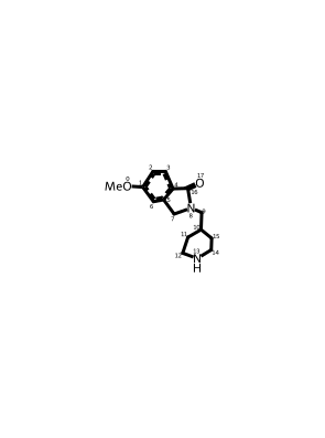 COc1ccc2c(c1)CN(CC1CCNCC1)C2=O